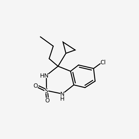 CCCC1(C2CC2)NS(=O)(=O)Nc2ccc(Cl)cc21